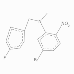 CN(Cc1ccc(F)cc1)c1cc(Br)ccc1[N+](=O)[O-]